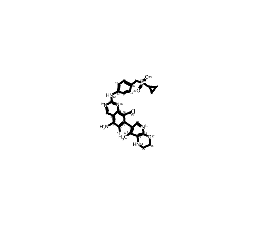 Cc1c(-c2c(F)c(N)c3cnc(Nc4ccc(CS(=O)(=O)C5CC5)cc4)nc3c2Cl)cnc2c1NCCO2